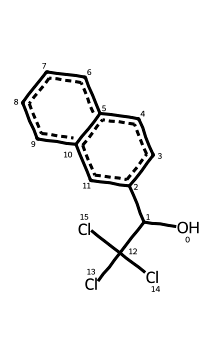 OC(c1ccc2ccccc2c1)C(Cl)(Cl)Cl